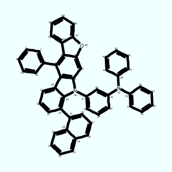 c1ccc(-c2c3c(cc4c2c2cccc(-c5cccc6ccccc56)c2n4-c2cccc(N(c4ccccc4)c4ccccc4)c2)oc2ccccc23)cc1